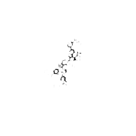 Cc1cc(-n2nc3c(c2-n2ccn(-c4ccn5c(C)ncc5c4)c2=O)[C@H](C)N(C(=O)c2cn4cc(C5CCOC(C)(C)C5)ccc4c2C2(c4noc(=O)[nH]4)CC2)CC3)cc(C)c1F